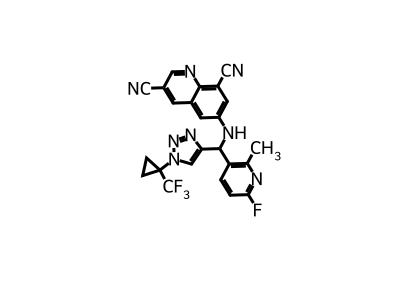 Cc1nc(F)ccc1C(Nc1cc(C#N)c2ncc(C#N)cc2c1)c1cn(C2(C(F)(F)F)CC2)nn1